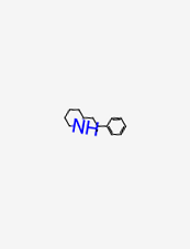 [CH](CC1CCCCN1)c1ccccc1